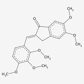 COc1cc2c(cc1OC)C(=O)/C(=C/c1ccc(OC)c(OC)c1OC)C2